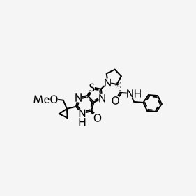 COCC1(c2nc3sc(N4CCC[C@@H]4C(=O)NCc4ccccc4)nc3c(=O)[nH]2)CC1